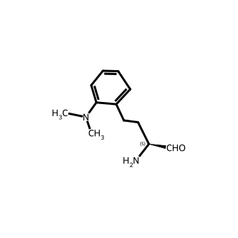 CN(C)c1ccccc1CC[C@H](N)C=O